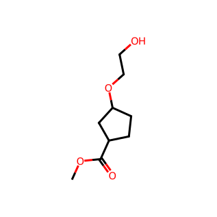 COC(=O)C1CCC(OCCO)C1